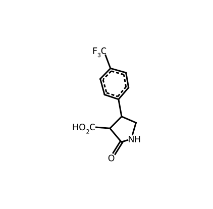 O=C(O)C1C(=O)NCC1c1ccc(C(F)(F)F)cc1